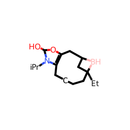 CCC12BC(CC3=C(CCCC1)N(C(C)C)C(O)O3)C2